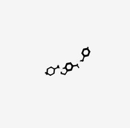 CC(NC(=O)c1ccc(F)cc1)c1ccc2c(c1)CCN2C(=O)C1CCC(F)(F)CC1